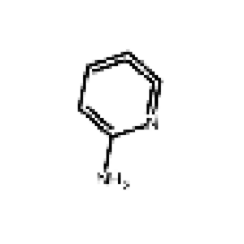 NC1=CC=C=C=N1